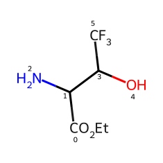 CCOC(=O)C(N)C(O)C(F)(F)F